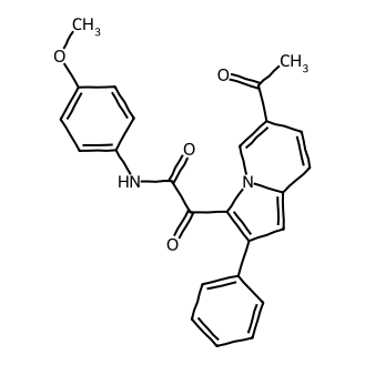 COc1ccc(NC(=O)C(=O)c2c(-c3ccccc3)cc3ccc(C(C)=O)cn23)cc1